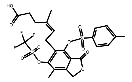 CC(=CCc1c(OS(=O)(=O)C(F)(F)F)c(C)c2c(c1OS(=O)(=O)c1ccc(C)cc1)C(=O)OC2)CCC(=O)O